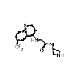 O=C(CNc1ccnc2ccc(C(F)(F)F)cc12)NC1CNC1